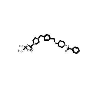 CC(C)(C)OC(=O)N1CCN(Cc2ccc(COC3CCN(OC(=O)c4ccccc4)CC3)cc2)CC1